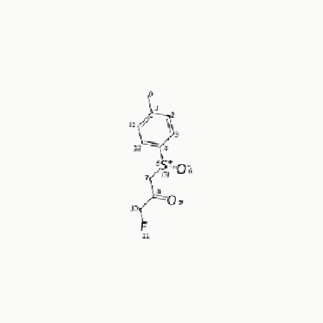 Cc1ccc([S@+]([O-])CC(=O)CF)cc1